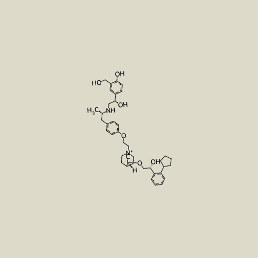 C[C@H](Cc1ccc(OCC[N+]23CCC(CC2)[C@@H](OC[C@H](O)c2ccccc2C2CCCC2)C3)cc1)NC[C@H](O)c1ccc(O)c(CO)c1